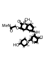 CNC(=O)COc1cc2cc(Nc3cc(N4CCC(O)CC4)ncc3Cl)ccc2n(C)c1=O